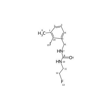 Cc1cccc(CNC(=O)NCCF)c1I